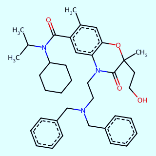 Cc1cc2c(cc1C(=O)N(C(C)C)C1CCCCC1)N(CCN(Cc1ccccc1)Cc1ccccc1)C(=O)C(C)(CCO)O2